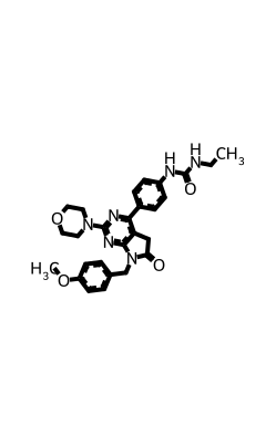 CCNC(=O)Nc1ccc(-c2nc(N3CCOCC3)nc3c2CC(=O)N3Cc2ccc(OC)cc2)cc1